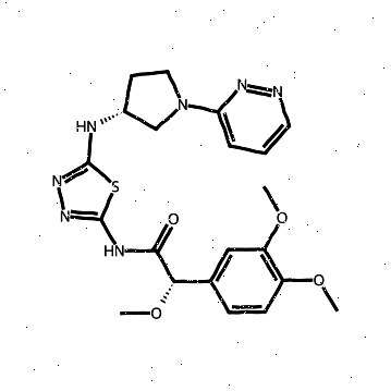 COc1ccc([C@H](OC)C(=O)Nc2nnc(N[C@@H]3CCN(c4cccnn4)C3)s2)cc1OC